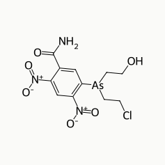 NC(=O)c1cc([As](CCO)CCCl)c([N+](=O)[O-])cc1[N+](=O)[O-]